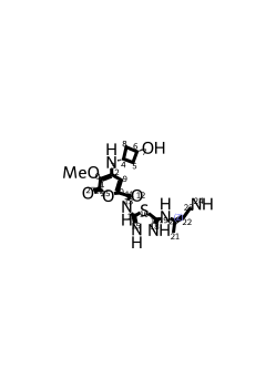 COc1c(N[C@H]2C[C@@H](O)C2)cc(C(=O)NC(=N)SC(=N)N/C(C)=C\C=N)oc1=O